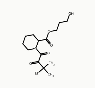 CCC(C)(C)C(=O)C(=O)N1CCCCC1C(=O)OCCCO